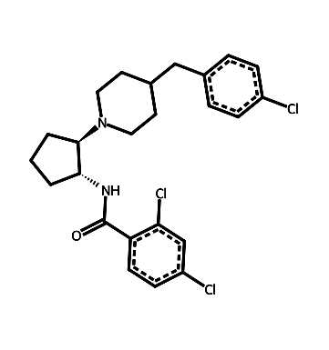 O=C(N[C@@H]1CCC[C@H]1N1CCC(Cc2ccc(Cl)cc2)CC1)c1ccc(Cl)cc1Cl